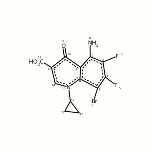 Nc1c(F)c(F)c(Br)c2c1c(=O)c(C(=O)O)cn2C1CC1